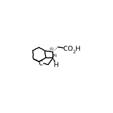 O=C(O)C[C@H]1C2CCC3CC[C@@H]1C2C3